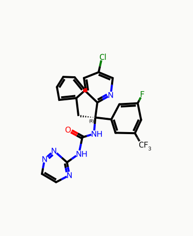 O=C(Nc1nccnn1)N[C@](Cc1ccccc1)(c1cc(F)cc(C(F)(F)F)c1)c1ccc(Cl)cn1